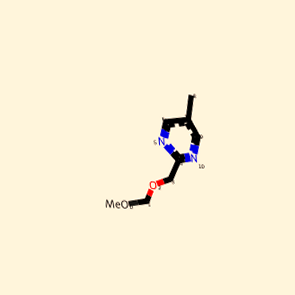 COCOCc1ncc(C)cn1